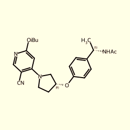 CC(=O)N[C@@H](C)c1ccc(O[C@@H]2CCN(c3cc(OCC(C)C)ncc3C#N)C2)cc1